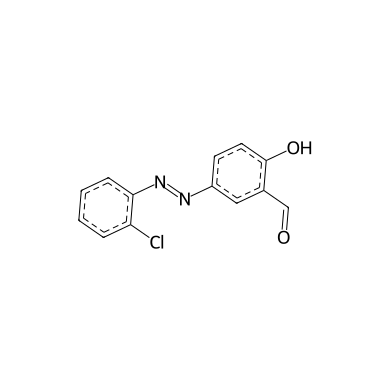 O=Cc1cc(N=Nc2ccccc2Cl)ccc1O